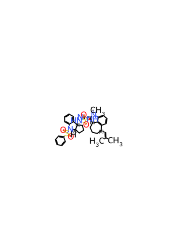 CC(C)=C[C@H]1CCC[C@]2(NS(=O)(=O)N[C@]34CCC[C@H]3N(S(=O)(=O)c3ccccc3)c3ccccc34)c3c1cccc3N(C)[C@H]2C#N